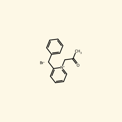 CC(=O)C[n+]1ccccc1Cc1ccccc1.[Br-]